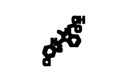 Cc1c(-c2nc3ccc(Cl)cc3s2)c2ccccc2n1CC(=O)O